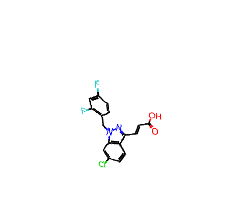 O=C(O)C=Cc1nn(Cc2ccc(F)cc2F)c2cc(Cl)ccc12